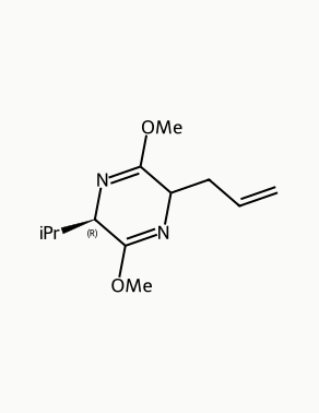 C=CCC1N=C(OC)[C@@H](C(C)C)N=C1OC